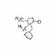 Cc1ccc(Cl)c(Cc2ccccc2)c1C